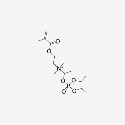 C=C(C)C(=O)OCC[N+](C)(C)C(C)OP(=O)(OCC)OCC